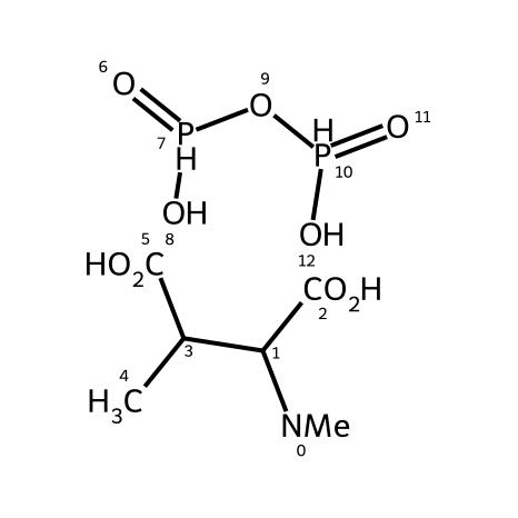 CNC(C(=O)O)C(C)C(=O)O.O=[PH](O)O[PH](=O)O